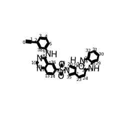 C#Cc1cccc(Nc2ncnc3ccc(S(=O)(=O)n4ccc(/C=C\C(=O)Nc5ccccc5N)c4)cc23)c1